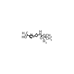 CC(O)c1ccn(C2CC(NC(=O)OC(C)(C)C)C2)n1